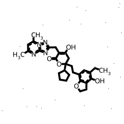 CCc1cc(CCC2(C3CCCC3)CC(O)=C(Cc3nc4nc(C)cc(C)n4n3)C(=O)O2)c2c(c1O)CCO2